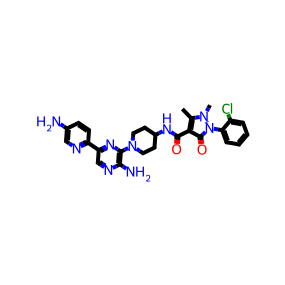 Cc1c(C(=O)NC2CCN(c3nc(-c4ccc(N)cn4)cnc3N)CC2)c(=O)n(-c2ccccc2Cl)n1C